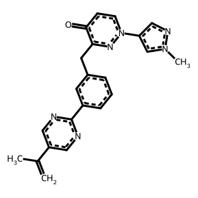 C=C(C)c1cnc(-c2cccc(Cc3nn(-c4cnn(C)c4)ccc3=O)c2)nc1